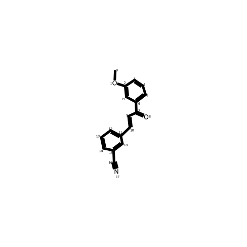 COc1cccc(C(=O)/C=C/c2cccc(C#N)c2)c1